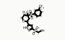 CC(C)CS(=O)(=O)c1cc(C2CC(C)(S(=O)(=O)c3cccc(C(F)(F)F)c3)CCO2)[nH]n1